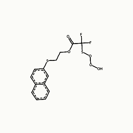 O=C(OCCSc1ccc2ccccc2c1)C(F)(F)SOOO